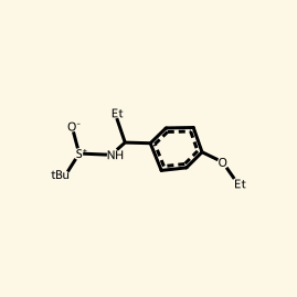 CCOc1ccc(C(CC)N[S+]([O-])C(C)(C)C)cc1